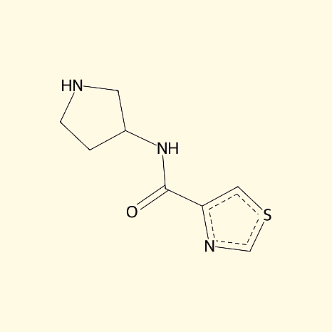 O=C(NC1CCNC1)c1cscn1